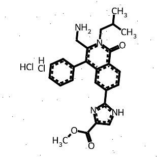 COC(=O)c1c[nH]c(-c2ccc3c(=O)n(CC(C)C)c(CN)c(-c4ccccc4)c3c2)n1.Cl.Cl